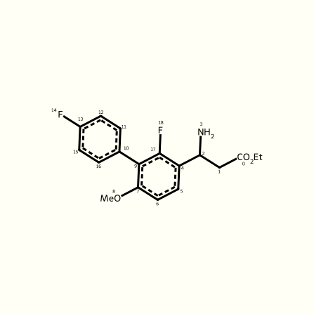 CCOC(=O)CC(N)c1ccc(OC)c(-c2ccc(F)cc2)c1F